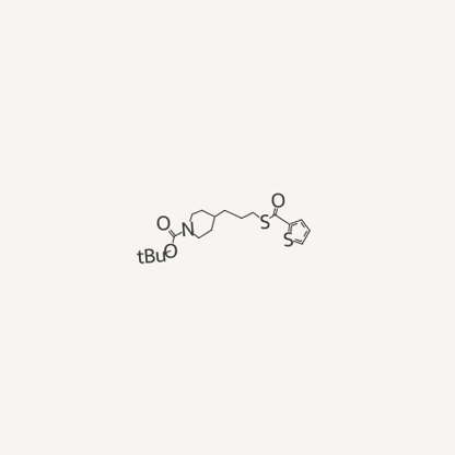 CC(C)(C)OC(=O)N1CCC(CCCSC(=O)c2cccs2)CC1